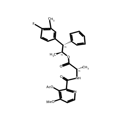 COc1ccnc(C(=O)N[C@@H](C)C(=O)O[C@@H](C)[C@@H](c2ccccc2)c2ccc(F)c(C)c2)c1OC(C)=O